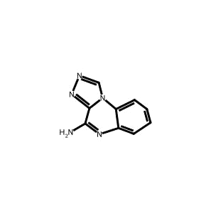 Nc1nc2ccccc2n2cnnc12